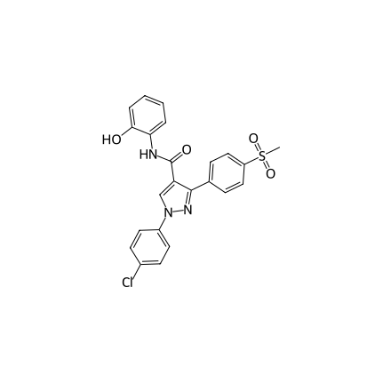 CS(=O)(=O)c1ccc(-c2nn(-c3ccc(Cl)cc3)cc2C(=O)Nc2ccccc2O)cc1